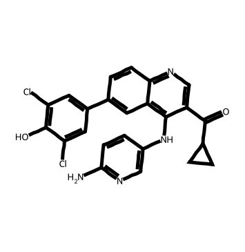 Nc1ccc(Nc2c(C(=O)C3CC3)cnc3ccc(-c4cc(Cl)c(O)c(Cl)c4)cc23)cn1